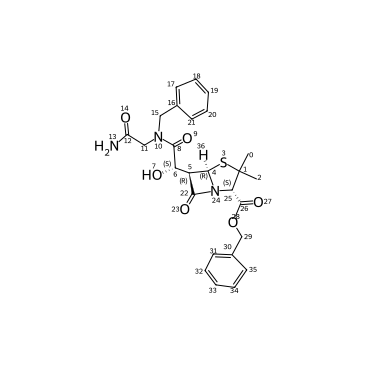 CC1(C)S[C@@H]2[C@H]([C@H](O)C(=O)N(CC(N)=O)Cc3ccccc3)C(=O)N2[C@H]1C(=O)OCc1ccccc1